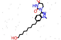 Cn1nc(N2CCC(=O)NC2=O)c2ccc(CCCCCCCCCO)cc21